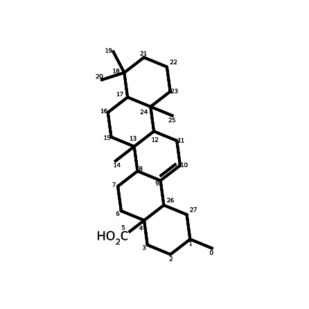 CC1CCC2(C(=O)O)CCC3C(=CCC4C3(C)CCC3C(C)(C)CCCC34C)C2C1